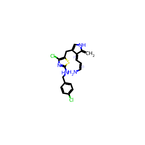 C=c1[nH]cc(Cc2sc(NCc3ccc(Cl)cc3)nc2Cl)/c1=C/C=C\N